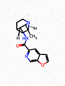 C[C@H]1[C@H](NC(=O)c2cc3ccoc3cn2)C2CCN1CC2